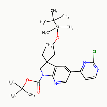 CCC1(CCO[Si](C)(C)C(C)(C)C)CN(C(=O)OC(C)(C)C)c2ncc(-c3ccnc(Cl)n3)cc21